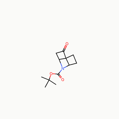 CC(C)(C)OC(=O)N1C2CCC23C(=O)CC13